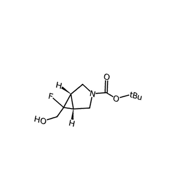 CC(C)(C)OC(=O)N1C[C@@H]2[C@H](C1)C2(F)CO